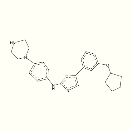 c1cc(OC2CCCC2)cc(-c2cnc(Nc3ccc(N4CCNCC4)cc3)o2)c1